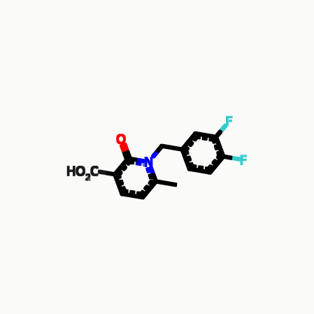 Cc1ccc(C(=O)O)c(=O)n1Cc1ccc(F)c(F)c1